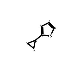 [CH]1CC1c1cccs1